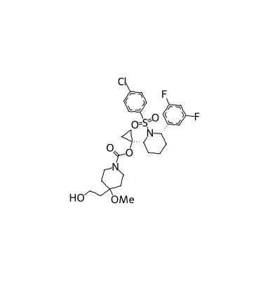 COC1(CCO)CCN(C(=O)OC2([C@H]3CCC[C@@H](c4cc(F)cc(F)c4)N3S(=O)(=O)c3ccc(Cl)cc3)CC2)CC1